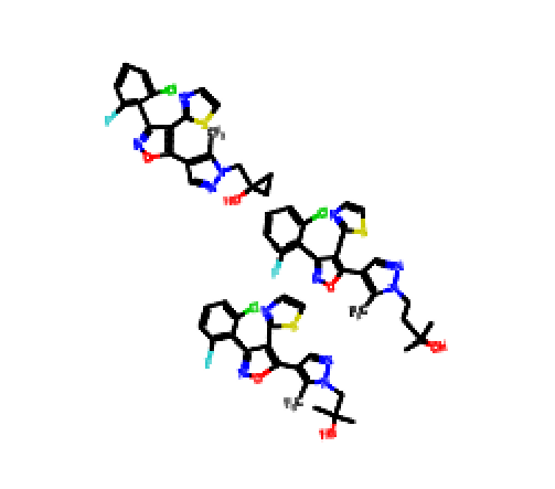 CC(C)(O)CCn1ncc(-c2onc(-c3c(F)cccc3Cl)c2-c2nccs2)c1C(F)(F)F.CC(C)(O)Cn1ncc(-c2onc(-c3c(F)cccc3Cl)c2-c2nccs2)c1C(F)(F)F.OC1(Cn2ncc(-c3onc(-c4c(F)cccc4Cl)c3-c3nccs3)c2C(F)(F)F)CC1